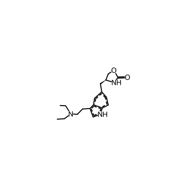 CCN(CC)CCc1c[nH]c2ccc(C[C@H]3COC(=O)N3)cc12